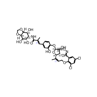 CON=Cc1cc(Cl)cc(Cl)c1OC/C=C(/C)[C@H]1O[C@@H](Oc2ccc(/C=C(\C)C(=O)N[C@@H]3[C@H](O)[C@@H](O)[C@H]4OCO[C@H]4[C@@H]3O)cc2O)[C@@H](O)[C@@H]1O